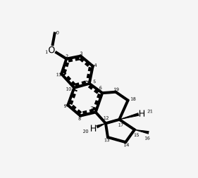 COc1ccc2c3c(ccc2c1)[C@H]1CC[C@H](C)[C@H]1CC3